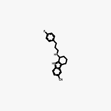 N#Cc1ccc2[nH]c3c(c2c1)CCCC3NCCCc1ccc(F)cc1